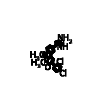 Cn1c(=O)c(-c2ccc(Cl)cc2Cl)cc2c3cc(-c4cc(N)n[nH]4)ccc3n(C)c21